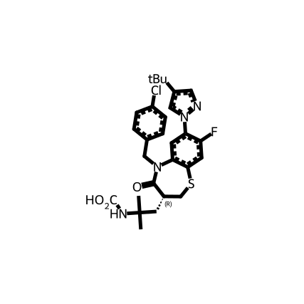 CC(C)(C[C@H]1CSc2cc(F)c(-n3cc(C(C)(C)C)cn3)cc2N(Cc2ccc(Cl)cc2)C1=O)NC(=O)O